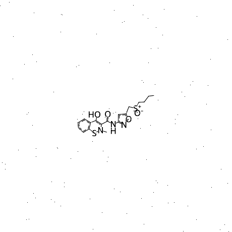 CCCC[S+]([O-])Cc1cc(NC(=O)C2=C(O)c3ccccc3SN2C)no1